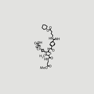 COC(=O)CCNC(=O)C1SC(=NC(=O)c2ccc(C(=N)NCCCC(=O)OC3CCCCC3)cc2)N(C2CCC2)C1C.COS(=O)(=O)O